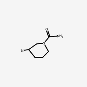 NC(=O)N1CCCC(Br)C1